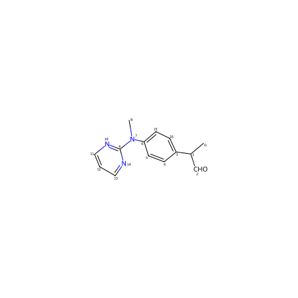 CC(C=O)c1ccc(N(C)c2ncccn2)cc1